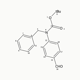 CC(C)(C)OC(=O)N(Cc1ccccc1)c1ccc(C=O)cc1